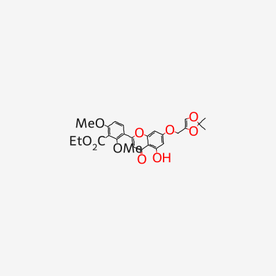 CCOC(=O)c1c(OC)ccc(-c2cc(=O)c3c(O)cc(OCC4=COC(C)(C)O4)cc3o2)c1OC